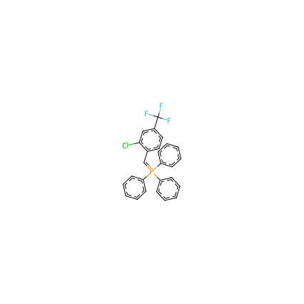 FC(F)(F)c1ccc(C=P(c2ccccc2)(c2ccccc2)c2ccccc2)c(Cl)c1